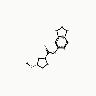 CN[C@H]1CC[C@H](C(=O)Nc2ccc3c(c2)CCC3)C1